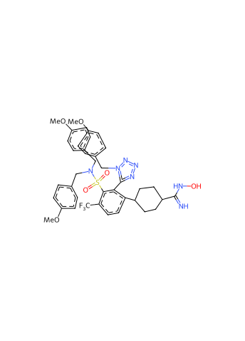 COc1ccc(CN(Cc2ccc(OC)cc2)S(=O)(=O)c2c(C(F)(F)F)ccc(C3CCC(C(=N)NO)CC3)c2-c2nnnn2Cc2ccc(OC)cc2)cc1